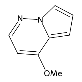 COc1ccnn2cccc12